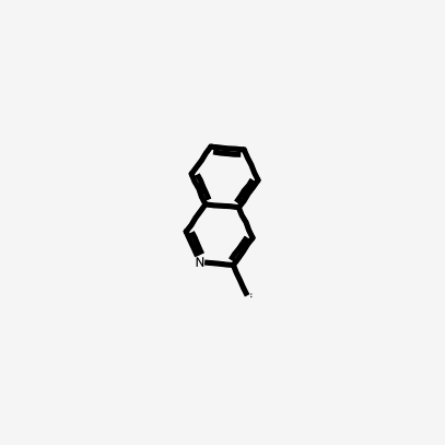 [CH]c1cc2ccccc2cn1